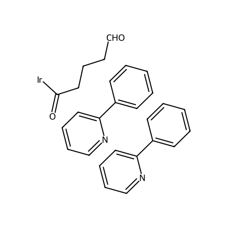 O=CCCC[C](=O)[Ir].c1ccc(-c2ccccn2)cc1.c1ccc(-c2ccccn2)cc1